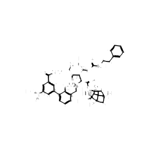 CNC(=O)c1cc(-c2cccc(CN3O[C@@H](CN)[C@@H]([C@H](C)OC(=O)NCCc4ccccc4)[C@H]3C(=O)N[C@H]3C[C@H]4C[C@@H]([C@@H]3C)C4(C)C)c2OC)cc(N(C)C)c1